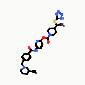 CC1CCCN(Cc2ccc(C(=O)Nc3ccc(OC(=O)N4CCC(C(C)Sc5nnn[nH]5)CC4)nc3)cc2)C1